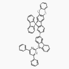 c1ccc(-c2cc(-c3ccccc3)nc(-n3c4ccccc4c4cc(-c5ccc6c(c5)C5(c7ccccc7-c7ccccc75)c5cc7c(cc5-6)Oc5ccccc5O7)ccc43)n2)cc1